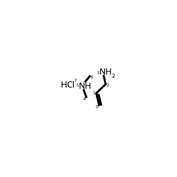 C=CCN.CNC.Cl